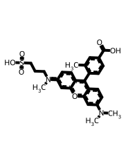 Cc1cc(C(=O)O)ccc1-c1c2cc/c(=[N+](/C)CCCS(=O)(=O)O)cc-2oc2cc(N(C)C)ccc12